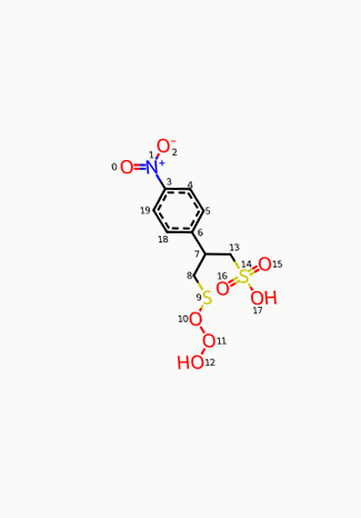 O=[N+]([O-])c1ccc(C(CSOOO)CS(=O)(=O)O)cc1